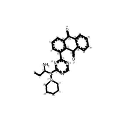 CCC(N)N(c1ncnc(-c2cccc3c2C(=O)c2ccccc2C3=O)n1)N1CCCCC1